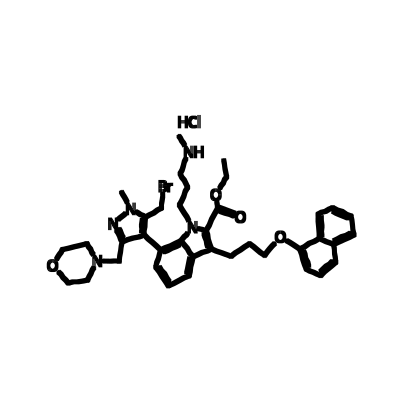 CCOC(=O)c1c(CCCOc2cccc3ccccc23)c2cccc(-c3c(CN4CCOCC4)nn(C)c3CBr)c2n1CCCNC.Cl